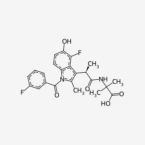 Cc1c([C@@H](C)C(=O)NC(C)(C)C(=O)O)c2c(F)c(O)ccc2n1C(=O)c1cccc(F)c1